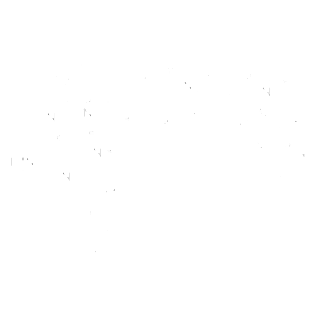 COCCOc1nc(N)c2nc(OC)n(CCC3CCN(CCCN(C)C(=O)OC(C)(C)C)CC3)c2n1